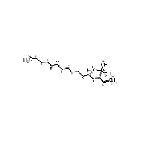 C=CC(CCCCCCCCCCCCC)C(C)(C)C